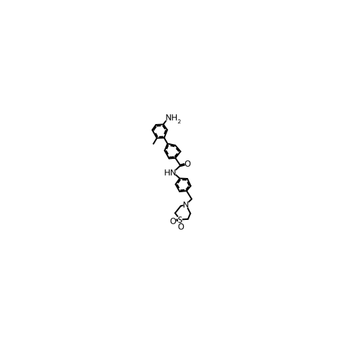 Cc1ccc(N)cc1-c1ccc(C(=O)Nc2ccc(CN3CCS(=O)(=O)CC3)cc2)cc1